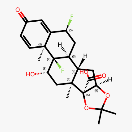 CC1(C)O[C@@H]2C[C@H]3[C@@H]4C[C@H](F)C5=CC(=O)C=C[C@]5(C)[C@@]4(F)[C@@H](O)C[C@]3(C)[C@]2(C(=O)O)O1